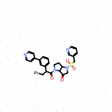 CC(C)CC(C(=O)N1CCC2C1C(=O)CN2S(=O)(=O)Cc1cccnc1)c1cccc(-c2ccncc2)c1